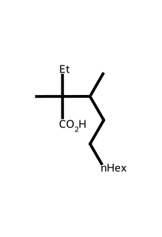 CCCCCCCCC(C)C(C)(CC)C(=O)O